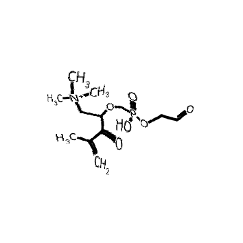 C=C(C)C(=O)C(C[N+](C)(C)C)OP(=O)(O)OCC=O